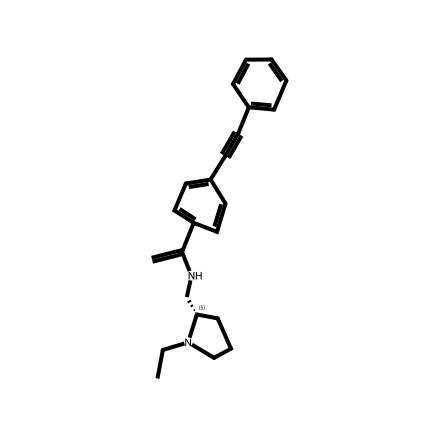 C=C(NC[C@@H]1CCCN1CC)c1ccc(C#Cc2ccccc2)cc1